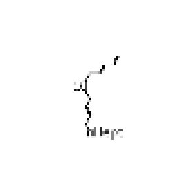 C=CC=CCC1OC1CC=CCCCCCCCC